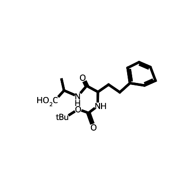 CC(NC(=O)C(CCc1ccccc1)NC(=O)OC(C)(C)C)C(=O)O